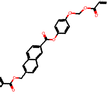 C=CC(=O)OCOc1ccc(OC(=O)c2ccc3cc(COC(=O)C(=C)C)ccc3c2)cc1